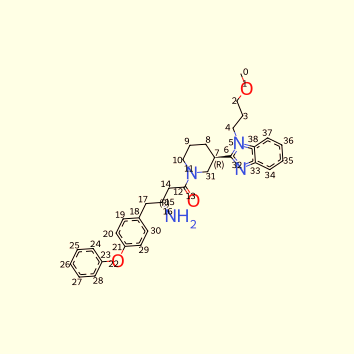 COCCCn1c([C@@H]2CCCN(C(=O)C[C@H](N)Cc3ccc(Oc4ccccc4)cc3)C2)nc2ccccc21